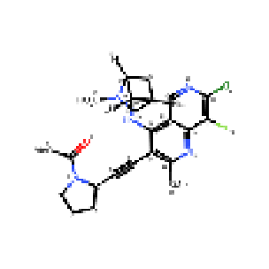 COC(=O)N1CCC[C@@H]1C#Cc1c(SC)nc2c(F)c(Cl)ncc2c1N[C@H]1[C@@H]2C[C@H]1N(C(=O)O)C2